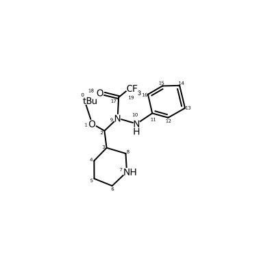 CC(C)(C)OC(C1CCCNC1)N(Nc1ccccc1)C(=O)C(F)(F)F